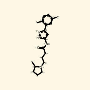 Cc1ccc(Cl)cc1-c1cc(NC(=O)CCCN2CCCC2C)[nH]n1